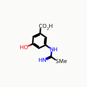 CSC(=N)Nc1cc(O)cc(C(=O)O)c1